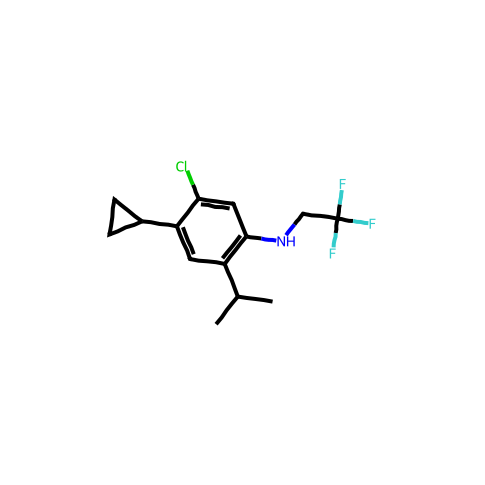 CC(C)c1cc(C2CC2)c(Cl)cc1NCC(F)(F)F